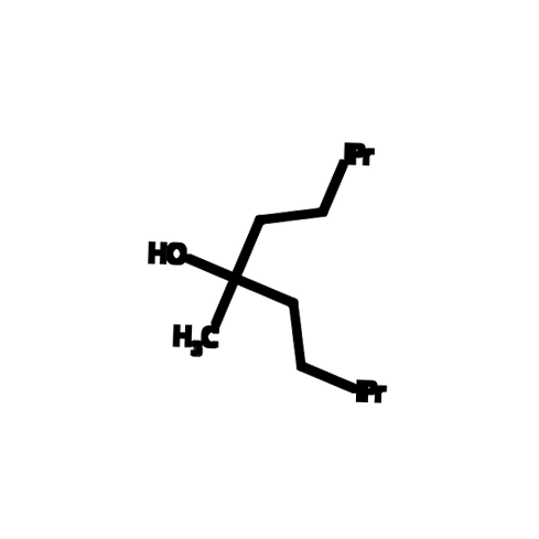 CC(C)CCC(C)(O)CCC(C)C